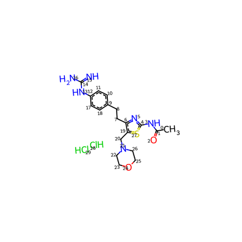 CC(=O)Nc1nc(CCc2ccc(NC(=N)N)cc2)c(CN2CCOCC2)s1.Cl.Cl